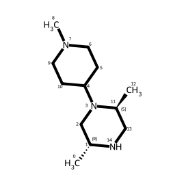 C[C@@H]1CN(C2CCN(C)CC2)[C@@H](C)CN1